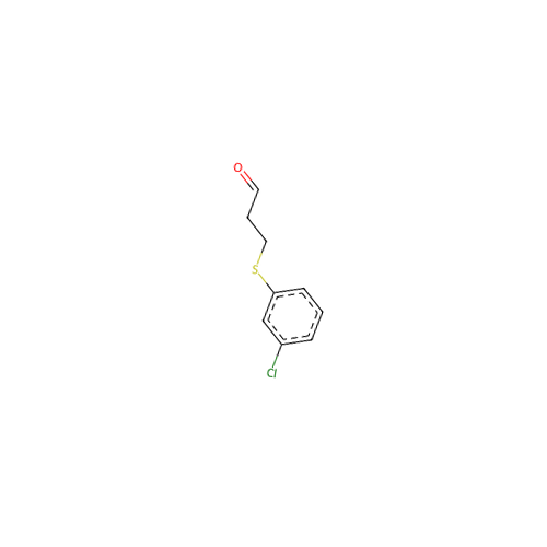 O=CCCSc1cccc(Cl)c1